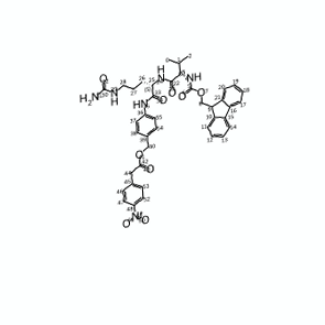 CC(C)[C@H](NC(=O)OCC1c2ccccc2-c2ccccc21)C(=O)N[C@@H](CCCNC(N)=O)C(=O)Nc1ccc(COC(=O)Cc2ccc([N+](=O)[O-])cc2)cc1